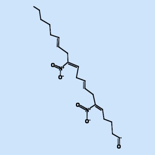 CCCCC/C=C/C/C(=C/C/C=C/C/C(=C/CCC[C]=O)[N+](=O)[O-])[N+](=O)[O-]